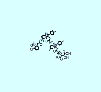 Cc1ccc(-c2nc3ccc(C)cn3c2CC(=O)N(C)C)cc1.Cc1ccc(-c2nc3ccc(C)cn3c2CC(=O)N(C)C)cc1.O=C(O)C(O)C(O)C(=O)O.O=C(O)Cc1cccc(Cl)c1[N+](=O)[O-]